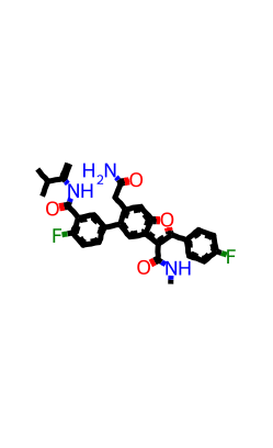 C=C(NC(=O)c1cc(-c2cc3c(C(=O)NC)c(-c4ccc(F)cc4)oc3cc2CC(N)=O)ccc1F)C(C)C